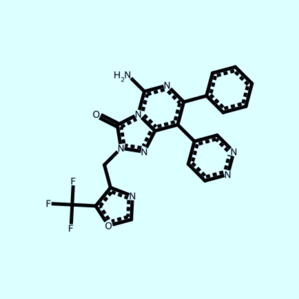 Nc1nc(-c2ccccc2)c(-c2ccnnc2)c2nn(Cc3ncoc3C(F)(F)F)c(=O)n12